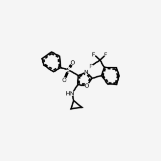 O=S(=O)(c1ccccc1)c1nc(-c2ccccc2C(F)(F)F)oc1NC1CC1